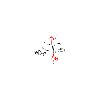 CCC(O)(C(=O)O)C(C)(C)O